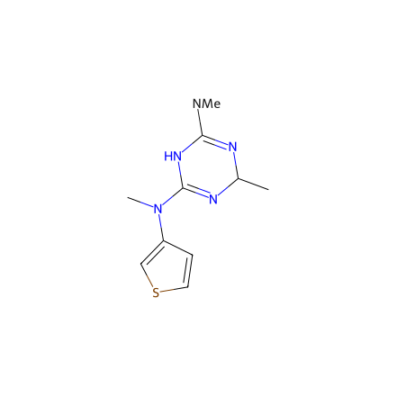 CNC1=NC(C)N=C(N(C)c2ccsc2)N1